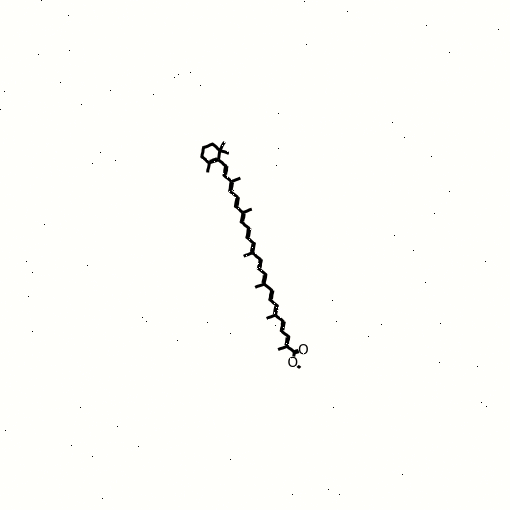 COC(=O)/C(C)=C/C=C/C(C)=C/C=C/C(C)=C/C=C/C(C)=C/C=C/C=C(C)/C=C/C=C(C)/C=C/C1=C(C)CCCC1(C)C